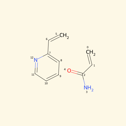 C=CC(N)=O.C=Cc1ccccn1